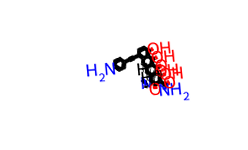 CN(C)[C@@H]1C(=O)C(C(N)=O)=C(O)[C@@]2(O)C(=O)C3=C(O)c4c(O)ccc(C#Cc5ccc(N)cc5)c4C[C@H]3C[C@@H]12